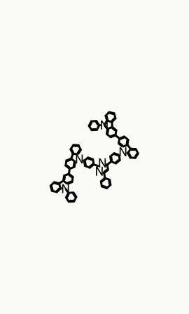 c1ccc(-c2cc(-c3ccc(-n4c5ccccc5c5ccc(-c6ccc7c(c6)c6ccccc6n7-c6ccccc6)cc54)cc3)nc(-c3ccc(-n4c5ccccc5c5ccc(-c6ccc7c(c6)c6ccccc6n7-c6ccccc6)cc54)cc3)n2)cc1